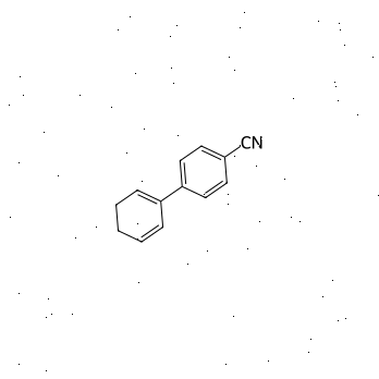 N#Cc1ccc(C2=CCCC=C2)cc1